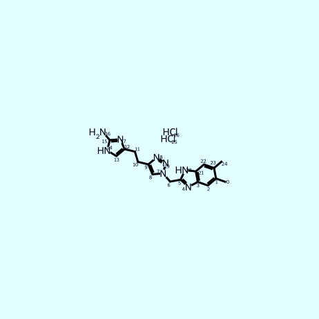 Cc1cc2nc(Cn3cc(CCc4c[nH]c(N)n4)nn3)[nH]c2cc1C.Cl.Cl